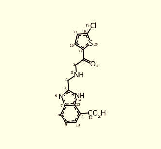 O=C(CNCc1nc2cccc(C(=O)O)c2[nH]1)c1ccc(Cl)s1